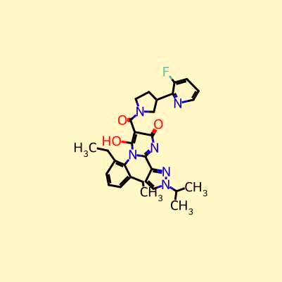 CCc1cccc(CC)c1-n1c(-c2ccn(C(C)C)n2)nc(=O)c(C(=O)N2CCC(c3ncccc3F)C2)c1O